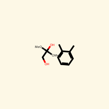 COC(O)(CO)OC.Cc1ccccc1C